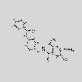 COc1cc(N)c(Cl)cc1C(=O)NCC1CCN(C[C@H](O)c2ccccc2)CC1